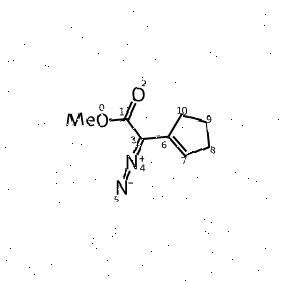 COC(=O)C(=[N+]=[N-])C1=CCCC1